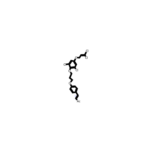 CC(=O)/C=C/c1ccc(OCCCOc2c(Cl)cc(OCC=C(Cl)Cl)cc2Cl)cc1